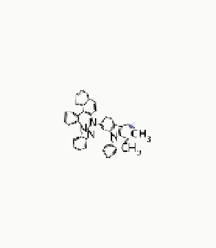 C=Cc1c(/C=C\C)c2ccc(N3c4ccc5ccccc5c4-c4ccccc4-n4c3nc3ccccc34)cc2n1-c1ccccc1